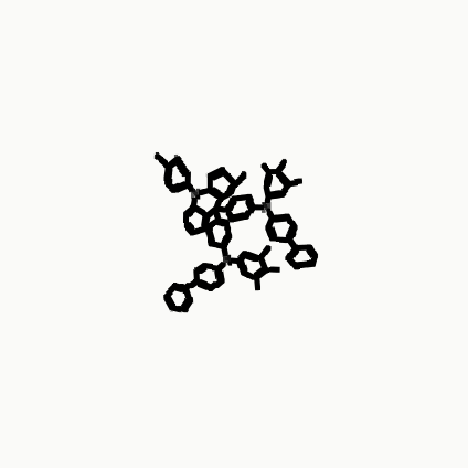 Cc1ccc(N2c3ccccc3C(c3ccc(N(c4ccc(-c5ccccc5)cc4)c4cc(C)c(C)c(C)c4)cc3)(c3ccc(N(c4ccc(-c5ccccc5)cc4)c4cc(C)c(C)c(C)c4)cc3)c3cc(C)ccc32)cc1